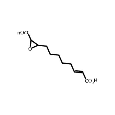 CCCCCCCCC1OC1CCCCCC=CC(=O)O